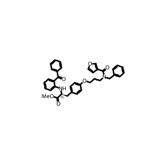 COC(=O)[C@H](Cc1ccc(OCCCN(Cc2ccccc2)C(=O)c2ccoc2)cc1)Nc1ccccc1C(=O)c1ccccc1